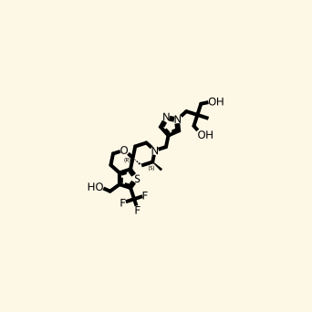 C[C@H]1C[C@@]2(CCN1Cc1cnn(CC(C)(CO)CO)c1)OCCc1c2sc(C(F)(F)F)c1CO